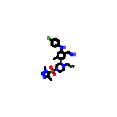 Cc1cc(Nc2ccc(F)cc2)c(C=N)cc1[C@H]1CN(S(=O)(=O)c2c(C)nnn2C)CCN1CC(C)C